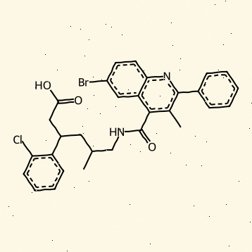 Cc1c(-c2ccccc2)nc2ccc(Br)cc2c1C(=O)NCC(C)CC(CC(=O)O)c1ccccc1Cl